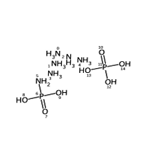 N.N.N.N.N.NP(=O)(O)O.O=P(O)(O)O